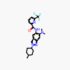 CC1CCC(n2cc3cc(NC(=O)c4cccc(C(F)(F)F)n4)c(N(C)C)cc3n2)CC1